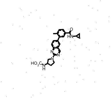 Cc1ccc(C(=O)NC2CC2)cc1-c1ccc2nc(N3CCC(NC(=O)O)C3)ncc2c1